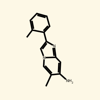 Cc1cn2cc(-c3ccccc3C)nc2cc1N